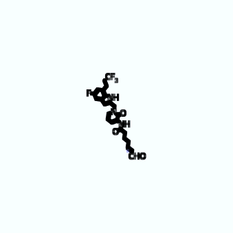 O=C/C=C/CCCC(=O)Nc1cccn(Cc2cc3cc(F)cc(CCC(F)(F)F)c3[nH]2)c1=O